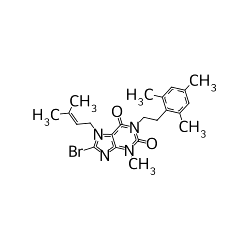 CC(C)=CCn1c(Br)nc2c1c(=O)n(CCc1c(C)cc(C)cc1C)c(=O)n2C